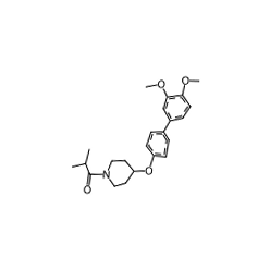 COc1ccc(-c2ccc(OC3CCN(C(=O)C(C)C)CC3)cc2)cc1OC